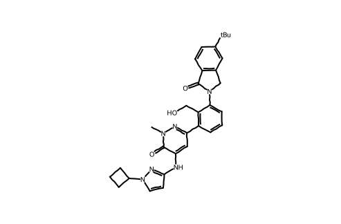 Cn1nc(-c2cccc(N3Cc4cc(C(C)(C)C)ccc4C3=O)c2CO)cc(Nc2ccn(C3CCC3)n2)c1=O